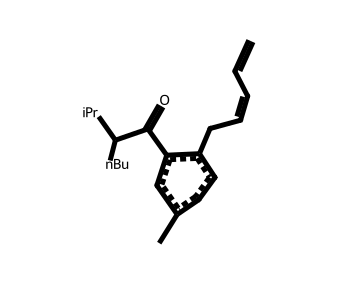 C=C/C=C\Cc1ccc(C)cc1C(=O)C(CCCC)C(C)C